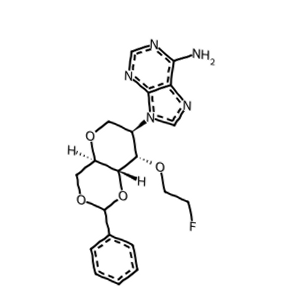 Nc1ncnc2c1ncn2[C@@H]1CO[C@@H]2COC(c3ccccc3)O[C@H]2[C@H]1OCCF